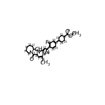 CCc1cc(C(=O)N2CCCCC[C@H]2C)nc2cc(-c3ccc(C4CCC(C(=O)OC)CC4)cc3F)nn12